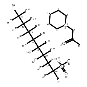 CC(=O)C[S+]1CCSCC1.O=S(=O)([O-])C(F)(F)C(F)(F)C(F)(F)C(F)(F)C(F)(F)C(F)(F)C(F)(F)C(F)(F)F